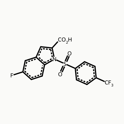 O=C(O)c1cc2cc(F)ccc2n1S(=O)(=O)c1ccc(C(F)(F)F)cc1